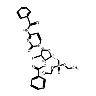 CCOP(=O)(C[C@H]1O[C@@H](n2ccc(NC(=O)c3ccccc3)nc2=O)C(F)[C@H]1OC(=O)c1ccccc1)OCC